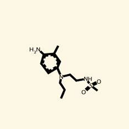 CCCN(CCNS(C)(=O)=O)c1ccc(N)c(C)c1